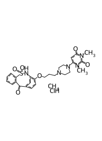 C.Cl.Cn1c(N2CCN(CCCOc3ccc4cc3NS(=O)(=O)c3ccccc3C4=O)CC2)cc(=O)n(C)c1=O